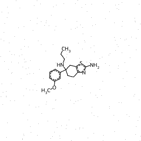 CCCNC1(c2cccc(OC)c2)CCc2nc(N)sc2C1